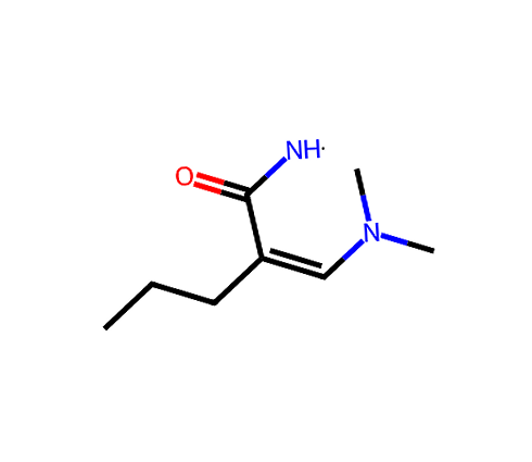 CCCC(=CN(C)C)C([NH])=O